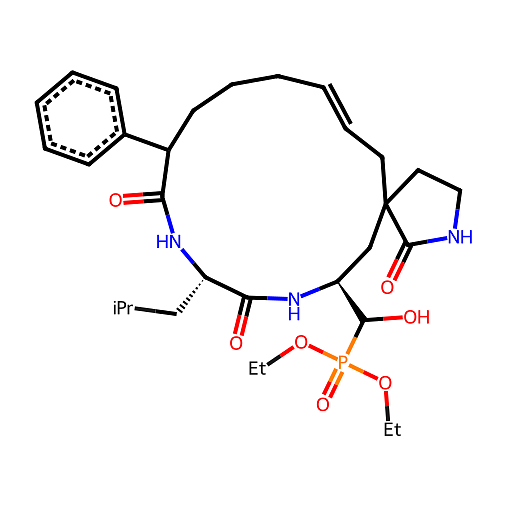 CCOP(=O)(OCC)C(O)[C@@H]1CC2(C/C=C/CCCC(c3ccccc3)C(=O)N[C@@H](CC(C)C)C(=O)N1)CCNC2=O